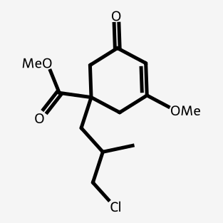 COC(=O)C1(CC(C)CCl)CC(=O)C=C(OC)C1